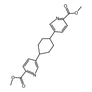 COC(=O)c1ccc(C2CCC(c3ccc(C(=O)OC)nc3)CC2)cn1